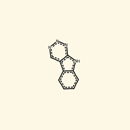 c1ccc2c(c1)[nH]c1nnncc12